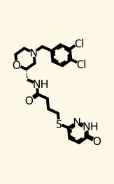 O=C(CCCSc1ccc(=O)[nH]n1)NC[C@H]1CN(Cc2ccc(Cl)c(Cl)c2)CCO1